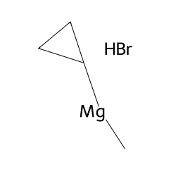 Br.[CH3][Mg][CH]1CC1